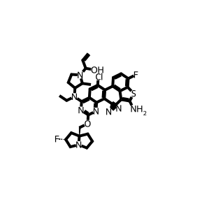 C=CC(O)N1CCC(N(CC)c2nc(OC[C@@]34CCCN3C[C@H](F)C4)nc3c(C#N)c(-c4ccc(F)c5sc(N)c(C#N)c45)c(Cl)cc23)C1C